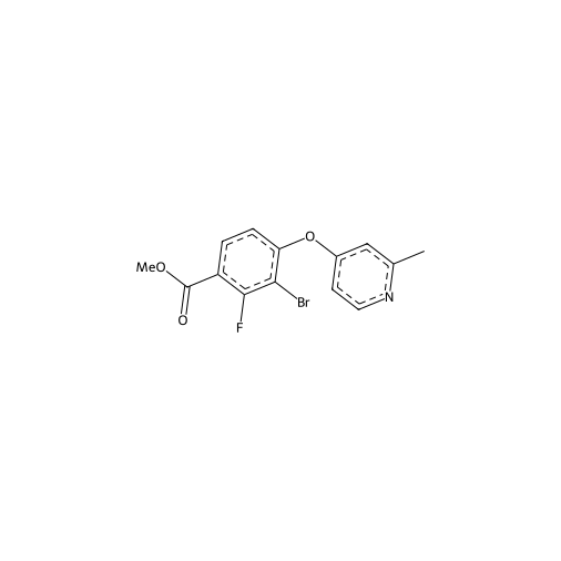 COC(=O)c1ccc(Oc2ccnc(C)c2)c(Br)c1F